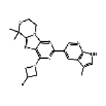 Cc1c[nH]c2ncc(-c3nc(N4CC(F)C4)c4nc5n(c4n3)CCOC5(C)C)cc12